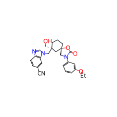 CCOc1cccc(N2C[C@@]3(CCC[C@](CO)(Cn4cnc5ccc(C#N)cc54)C3)OC2=O)c1